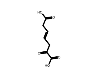 O=C(O)CC=CCC(=O)C(=O)O